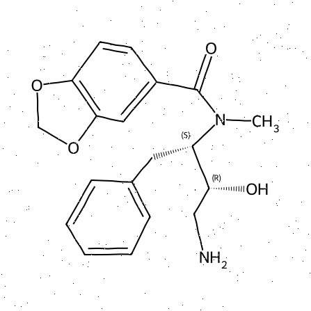 CN(C(=O)c1ccc2c(c1)OCO2)[C@@H](Cc1ccccc1)[C@H](O)CN